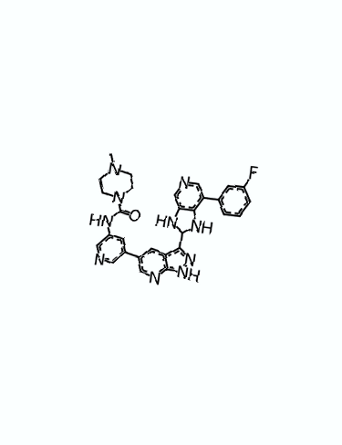 CN1CCN(C(=O)Nc2cncc(-c3cnc4[nH]nc(C5Nc6cncc(-c7cccc(F)c7)c6N5)c4c3)c2)CC1